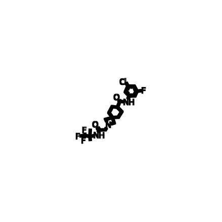 CC(C)(NC(=O)CN1CC2(CCC(C(=O)Nc3cc(F)cc(Cl)c3)CC2)C1)C(F)(F)F